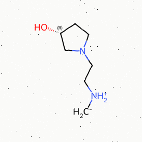 [CH2-][NH2+]CCN1CC[C@@H](O)C1